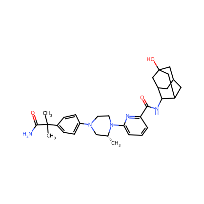 C[C@@H]1CN(c2ccc(C(C)(C)C(N)=O)cc2)CCN1c1cccc(C(=O)NC2C3CC4CC2CC(O)(C4)C3)n1